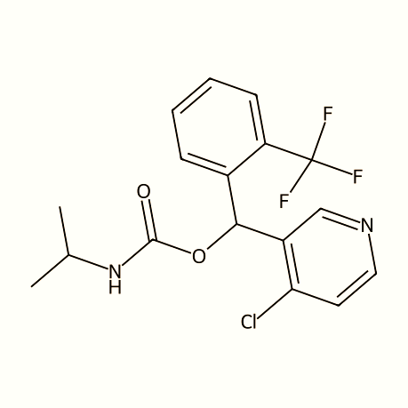 CC(C)NC(=O)OC(c1cnccc1Cl)c1ccccc1C(F)(F)F